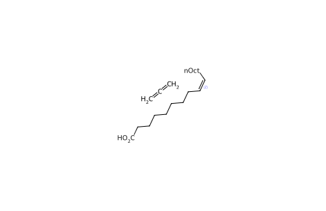 C=C=C.CCCCCCCC/C=C\CCCCCCCC(=O)O